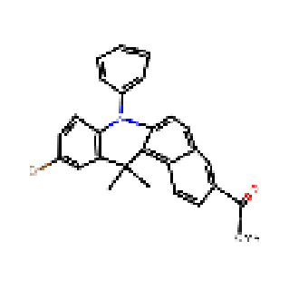 COC(=O)c1ccc2c3c(ccc2c1)N(c1ccccc1)c1ccc(Br)cc1C3(C)C